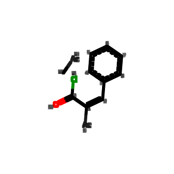 CC(=O)C(=Cc1ccccc1)C(=O)Cl.CC(C)=O